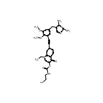 CCn1cc(OC(=O)NCCO)c(=O)c2ccc(C#Cc3cc(Cc4cnc(N)nc4N)cc(OC)c3OC)cc21